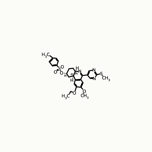 CCOc1cc2c(cc1OC)C(c1cnc(SC)nc1)=N[C@@H]1CC[C@@H](OS(=O)(=O)c3ccc(C)cc3)C[C@H]21